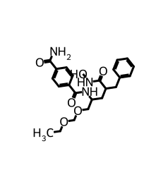 CCOCOCC(CC(Cc1ccccc1)C(=O)NO)NC(=O)c1ccc(C(N)=O)cc1